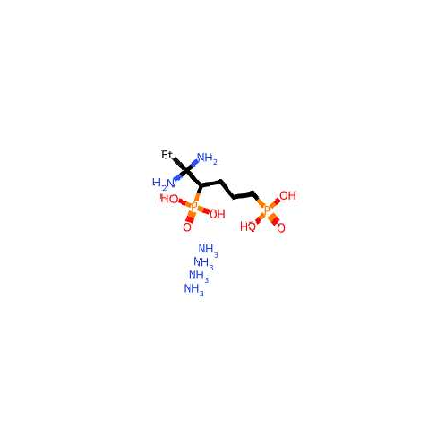 CCC(N)(N)C(CCCP(=O)(O)O)P(=O)(O)O.N.N.N.N